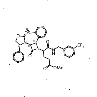 C=Cc1ccccc1[C@@H]1[C@H](N2C(=O)OC[C@@H]2c2ccccc2)C(=O)N1C(CCC(=O)OC)C(=O)NCc1cccc(C(F)(F)F)c1